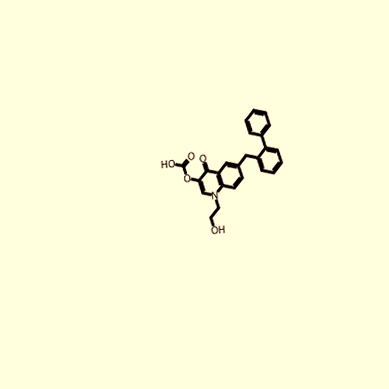 O=C(O)Oc1cn(CCO)c2ccc(Cc3ccccc3-c3ccccc3)cc2c1=O